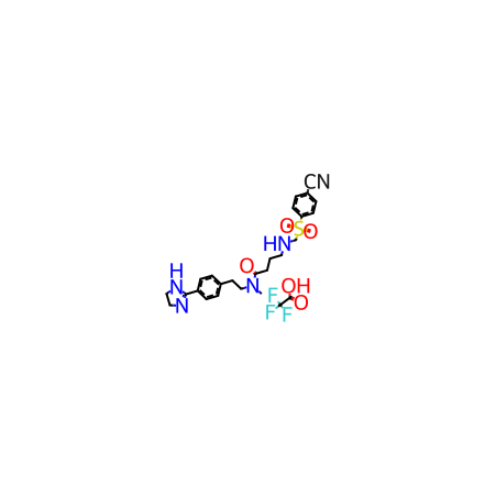 CN(CCc1ccc(C2=NCCN2)cc1)C(=O)CCCNCS(=O)(=O)c1ccc(C#N)cc1.O=C(O)C(F)(F)F